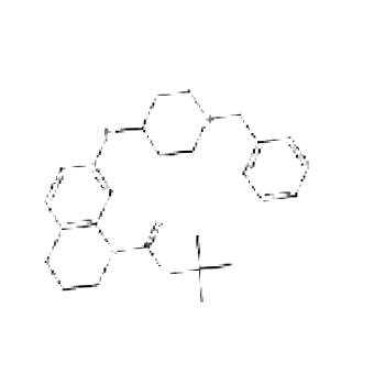 CC(C)(C)OC(=O)N1CCCc2ccc(NC3CCN(Cc4ccccc4)CC3)cc21